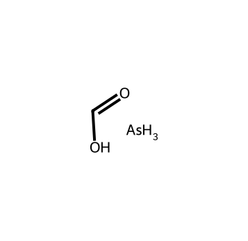 O=CO.[AsH3]